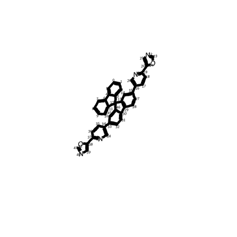 c1ccc2c(c1)-c1ccccc1C21c2cc(-c3ccc(-c4cnco4)nc3)ccc2-c2ccc(-c3ccc(-c4cnco4)nc3)cc21